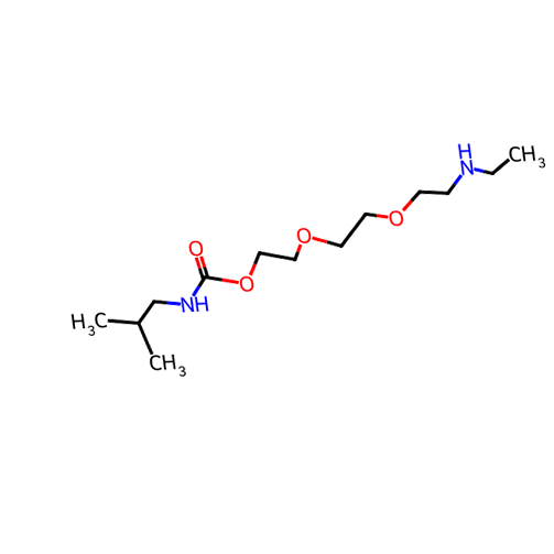 CCNCCOCCOCCOC(=O)NCC(C)C